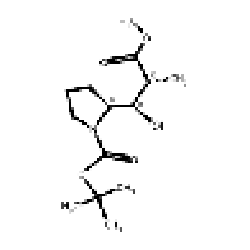 COC(=O)[C@H](C)[C@@H](O)[C@@H]1CCCN1C(=O)OC(C)(C)C